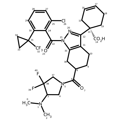 CN(C)C1CN(C(=O)C2CCc3c([C@@]4(C(=O)O)CC=CCC4)nn(C(=O)c4c(Cl)cccc4C4(C(F)(F)F)CC4)c3C2)CC1(F)F